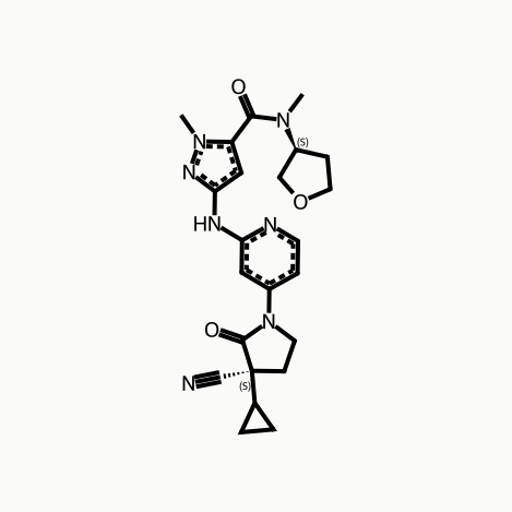 CN(C(=O)c1cc(Nc2cc(N3CC[C@@](C#N)(C4CC4)C3=O)ccn2)nn1C)[C@H]1CCOC1